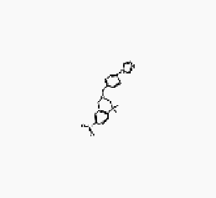 CC1(C)CN(Cc2ccc(-n3ccnc3)cc2)Cc2cc([N+](=O)[O-])ccc21